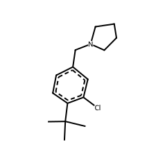 CC(C)(C)c1ccc(CN2CCCC2)cc1Cl